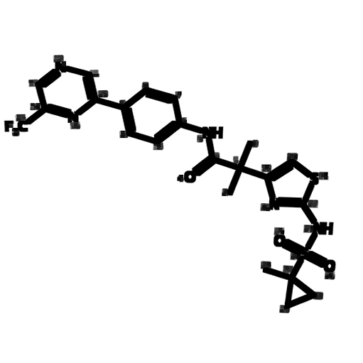 CC(C)(C(=O)Nc1ccc(-c2cncc(C(F)(F)F)n2)cc1)c1csc(NS(=O)(=O)C2(C)CC2)n1